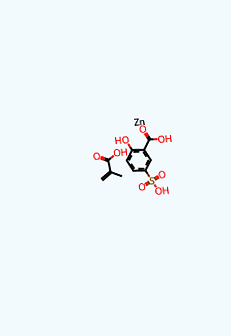 C=C(C)C(=O)O.O=C(O)c1cc(S(=O)(=O)O)ccc1O.[Zn]